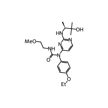 CCOc1ccc(N(C(=O)NCCOC)c2ccnc(N[C@@H](C)C(C)(C)O)n2)cc1